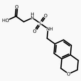 O=C(O)CNS(=O)(=O)NCc1ccc2c(c1)COCC2